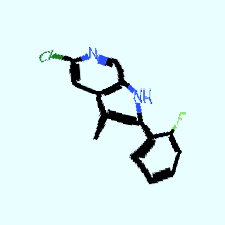 Cc1c(-c2ccccc2F)[nH]c2cnc(Cl)cc12